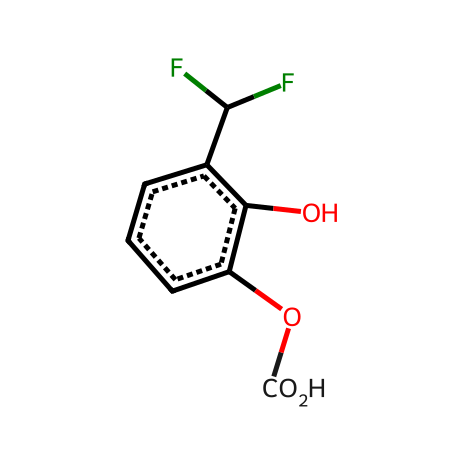 O=C(O)Oc1cccc(C(F)F)c1O